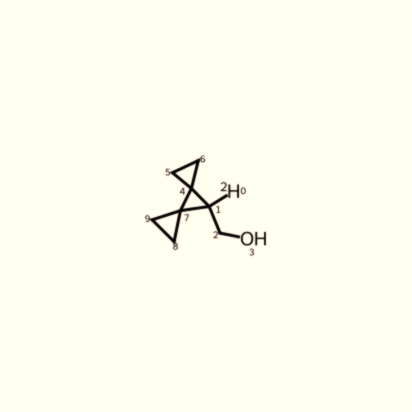 [2H]C1(CO)C2(CC2)C12CC2